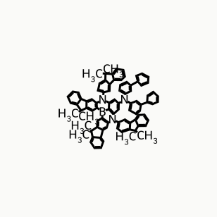 CC1(C)c2ccccc2-c2cc(N3c4cc5c(cc4B4c6cc7c(cc6N(c6ccc8c(c6)-c6ccccc6C8(C)C)c6cc(N(c8cccc(-c9ccccc9)c8)c8cccc(-c9ccccc9)c8)cc3c64)-c3ccccc3C7(C)C)C(C)(C)c3ccccc3-5)ccc21